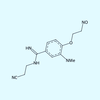 CNc1cc(C(=N)NCCC#N)ccc1OCCN=O